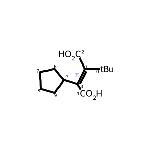 CC(C)(C)/C(C(=O)O)=C(\C(=O)O)C1CCCC1